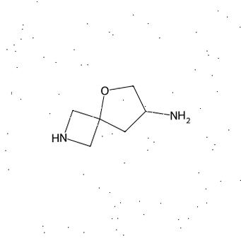 NC1COC2(CNC2)C1